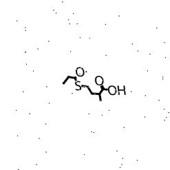 CCC([O])SCCC(C)C(=O)O